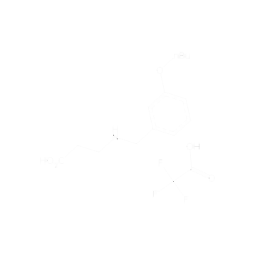 CCCCOc1cccc(CNCCC(=O)O)c1.O=C(O)C(F)(F)F